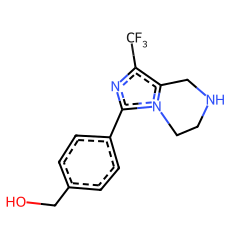 OCc1ccc(-c2nc(C(F)(F)F)c3n2CCNC3)cc1